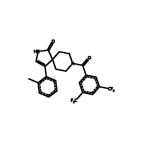 Cc1ccccc1C1=CNC(=O)C12CCN(C(=O)c1cc(C(F)(F)F)cc(C(F)(F)F)c1)CC2